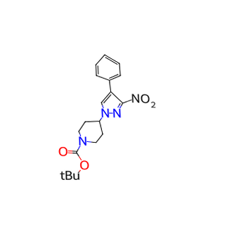 CC(C)(C)OC(=O)N1CCC(n2cc(-c3ccccc3)c([N+](=O)[O-])n2)CC1